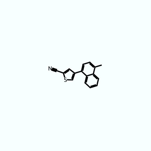 Cc1ccc(-c2csc(C#N)c2)c2ccccc12